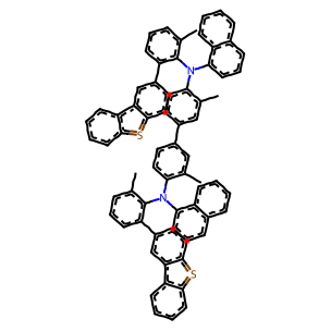 Cc1cc(-c2ccc(N(c3c(C)cccc3-c3ccc4sc5ccccc5c4c3)c3cccc4ccccc34)c(C)c2)ccc1N(c1c(C)cccc1-c1ccc2sc3ccccc3c2c1)c1cccc2ccccc12